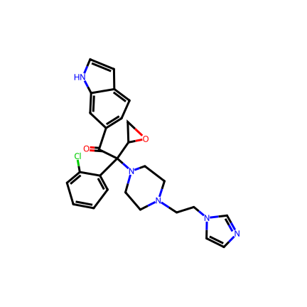 O=C(c1ccc2cc[nH]c2c1)C(c1ccccc1Cl)(C1CO1)N1CCN(CCn2ccnc2)CC1